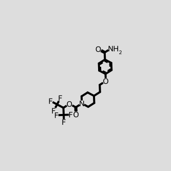 NC(=O)c1ccc(OCCC2CCN(C(=O)OC(C(F)(F)F)C(F)(F)F)CC2)cc1